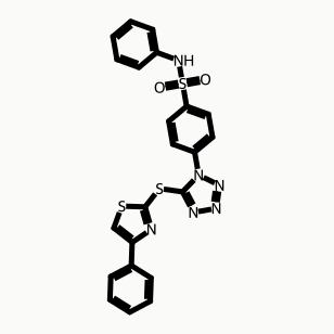 O=S(=O)(Nc1ccccc1)c1ccc(-n2nnnc2Sc2nc(-c3ccccc3)cs2)cc1